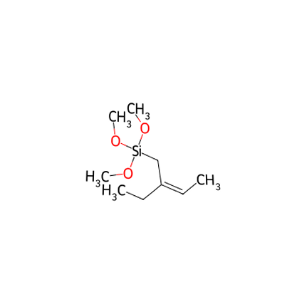 CC=C(CC)C[Si](OC)(OC)OC